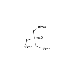 CCCCCOP(=O)(SCCCCC)SCCCCC